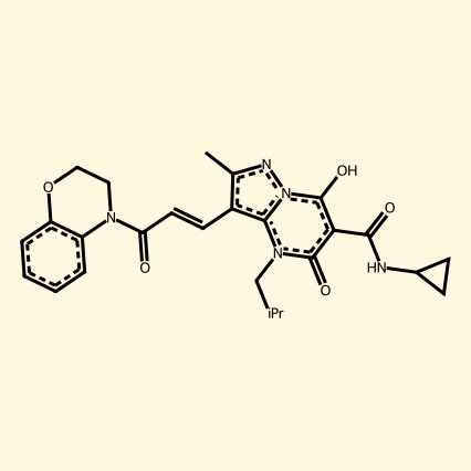 Cc1nn2c(O)c(C(=O)NC3CC3)c(=O)n(CC(C)C)c2c1C=CC(=O)N1CCOc2ccccc21